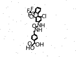 O=C(NCc1ccc(C(O)C(=O)O)cc1)Nc1cc(Cl)c(-c2ccccc2OC(F)(F)F)c(Cl)c1